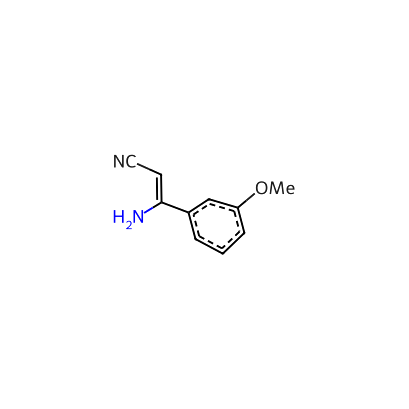 COc1cccc(C(N)=CC#N)c1